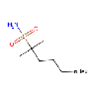 CCCCCCCCCC(C)(C)S(N)(=O)=O